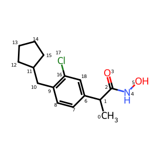 CC(C(=O)NO)c1ccc(CC2CCCC2)c(Cl)c1